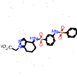 O=C(O)Cn1ncc2c1CCCC2NS(=O)(=O)c1cccc(NS(=O)(=O)c2ccccc2)c1